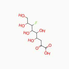 O=C(O)C(=O)CC(O)C(O)C(O)C(F)C(O)CO